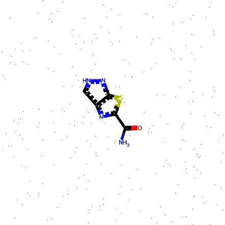 NC(=O)c1nc2c[nH]nc2s1